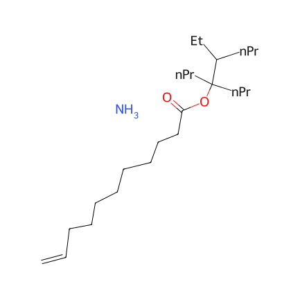 C=CCCCCCCCCC(=O)OC(CCC)(CCC)C(CC)CCC.N